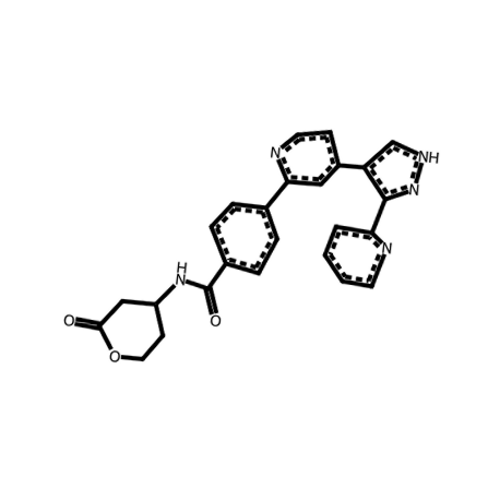 O=C1CC(NC(=O)c2ccc(-c3cc(-c4c[nH]nc4-c4ccccn4)ccn3)cc2)CCO1